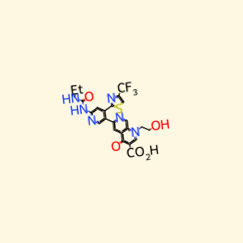 CCNC(=O)Nc1cc(-c2nc(C(F)(F)F)cs2)c(-c2cc3c(=O)c(C(=O)O)cn(CCO)c3cn2)cn1